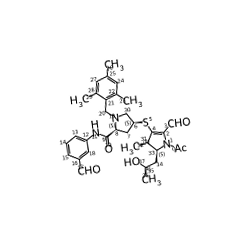 CC(=O)N1C(C=O)=C(S[C@H]2C[C@@H](C(=O)Nc3cccc(C=O)c3)N(Cc3c(C)cc(C)cc3C)C2)[C@H](C)[C@@H]1C[C@@H](C)O